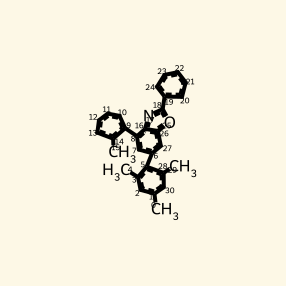 Cc1cc(C)c(-c2cc(-c3ccccc3C)c3nc(-c4ccccc4)oc3c2)c(C)c1